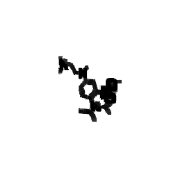 C=C(C)N(C(=C)C)c1ccc(N(C)CCN(C)C)cc1[N+](=O)[O-]